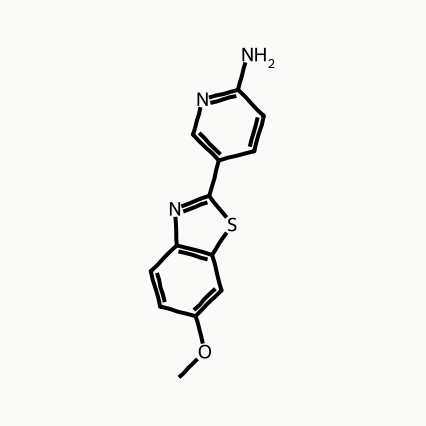 COc1ccc2nc(-c3ccc(N)nc3)sc2c1